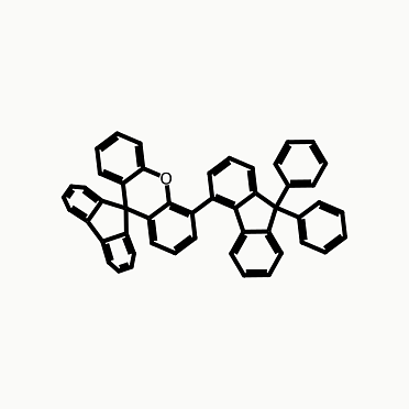 c1ccc(C2(c3ccccc3)c3ccccc3-c3c(-c4cccc5c4Oc4ccccc4C54c5ccccc5-c5ccccc54)cccc32)cc1